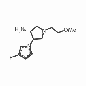 COCCN1C[C@@H](N)[C@H](n2ccc(F)c2)C1